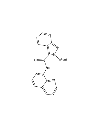 CCCCCn1nc2ccccc2c1C(=O)Nc1cccc2ccccc12